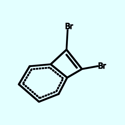 BrC1=C(Br)c2ccccc21